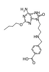 CCCCOc1nc(N)c2[nH]c(=O)n(CCCNCc3ccc(C(=O)O)cc3)c2n1